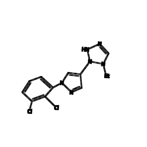 CCN1C=NNN1c1cnn(-c2cccc(Cl)c2Cl)c1